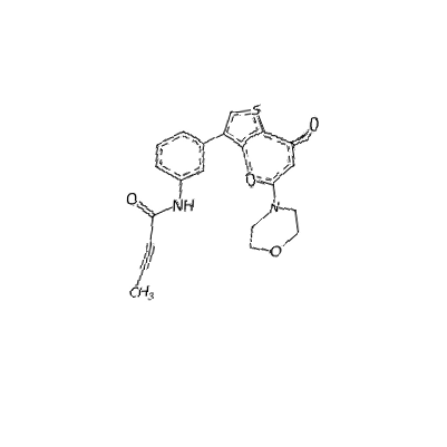 CC#CC(=O)Nc1cccc(-c2csc3c(=O)cc(N4CCOCC4)oc23)c1